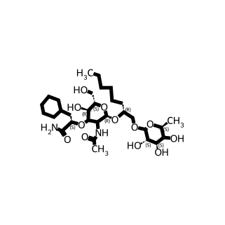 CCCCCC[C@H](COC1O[C@@H](C)C(O)[C@H](O)[C@@H]1O)O[C@@H]1O[C@@H](CO)[C@H](O)C(O[C@@H](CC2CCCCC2)C(N)=O)C1NC(C)=O